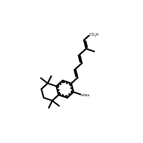 CCCCCCc1cc2c(cc1/C=C/C=C/C(C)=C/C(=O)O)C(C)(C)CCC2(C)C